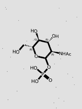 CC(=O)N[C@H]1C(OP(=O)(O)O)O[C@H](CO)[C@@H](O)[C@@H]1O